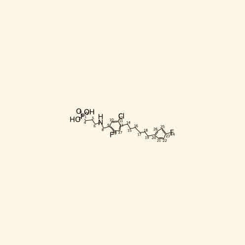 O=P(O)(O)CCCNCc1cc(Cl)c(CCCCCCc2ccc(F)cc2)cc1F